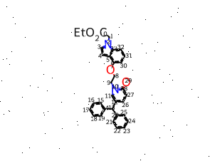 CCOC(=O)Cn1ccc2c(OCCn3cc(C(c4ccccc4)c4ccccc4)ccc3=O)cccc21